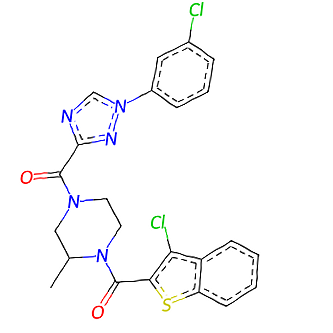 CC1CN(C(=O)c2ncn(-c3cccc(Cl)c3)n2)CCN1C(=O)c1sc2ccccc2c1Cl